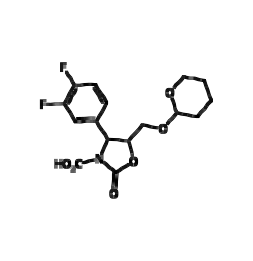 O=C(O)N1C(=O)OC(COC2CCCCO2)C1c1ccc(F)c(F)c1